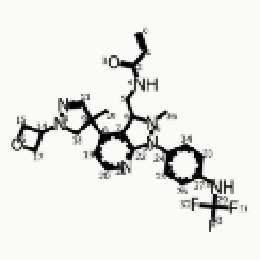 C=CC(=O)NCC1c2c(C3(C)C=NN(C4COC4)C3)ccnc2N(c2ccc(NC(F)(F)F)cc2)N1C